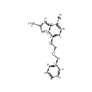 Cn1cc2c(OCOCc3ccccc3)ccc(Br)c2n1